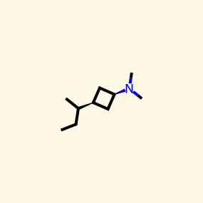 CCC(C)[C@H]1C[C@@H](N(C)C)C1